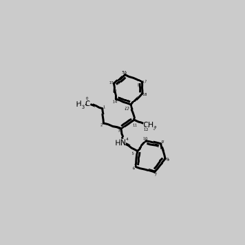 CCCC(Nc1ccccc1)=C(C)c1ccccc1